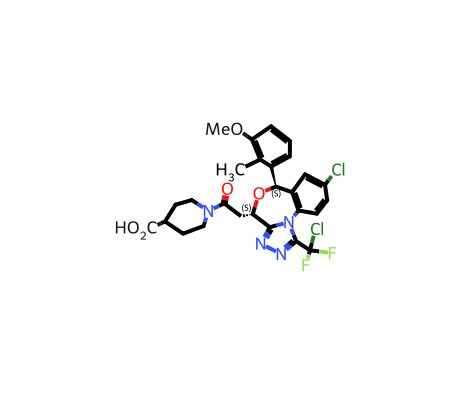 COc1cccc([C@@H]2O[C@@H](CC(=O)N3CCC(C(=O)O)CC3)c3nnc(C(F)(F)Cl)n3-c3ccc(Cl)cc32)c1C